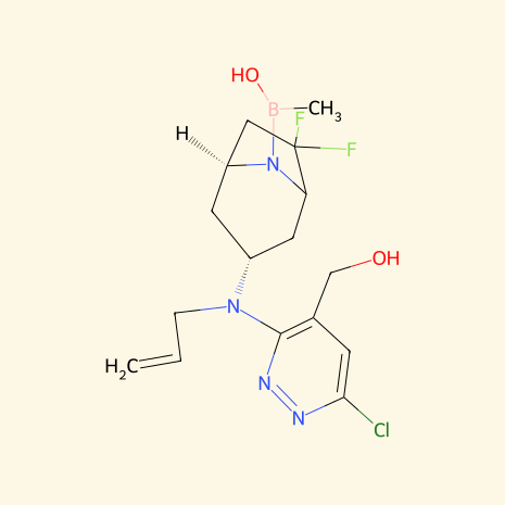 C=CCN(c1nnc(Cl)cc1CO)[C@H]1CC2N(B(C)O)[C@@H](C1)CC2(F)F